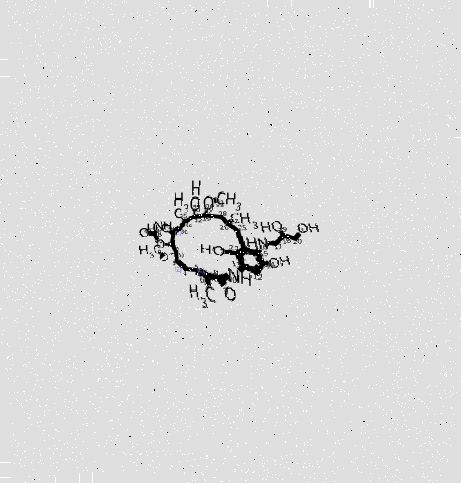 CO[C@H]1/C=C\C=C(/C)C(=O)Nc2cc(O)c(NCC(O)CO)c(c2O)CC(C)C[C@H](OC)[C@H](O)[C@@H](C)/C=C(\C)[C@@H]1OC(N)=O